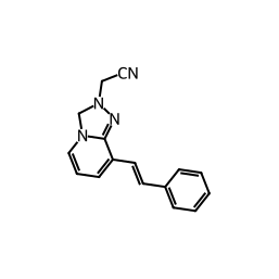 N#CCN1CN2C=CC=C(/C=C/c3ccccc3)C2=N1